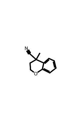 CC1(C#N)CCOc2ccccc21